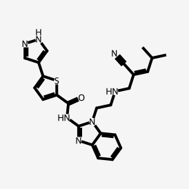 CC(C)C=C(C#N)CNCCn1c(NC(=O)c2ccc(-c3cn[nH]c3)s2)nc2ccccc21